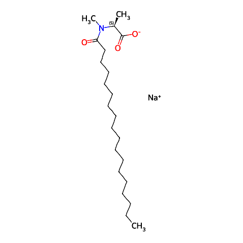 CCCCCCCCCCCCCCCCCC(=O)N(C)[C@@H](C)C(=O)[O-].[Na+]